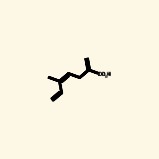 C=CC(C)=CCC(=C)C(=O)O